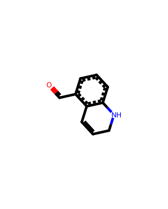 O=Cc1cccc2c1C=CCN2